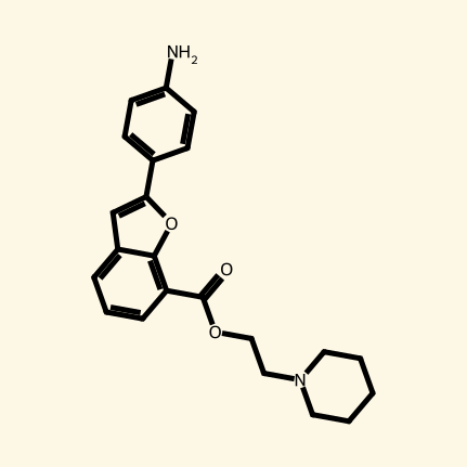 Nc1ccc(-c2cc3cccc(C(=O)OCCN4CCCCC4)c3o2)cc1